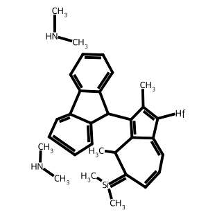 CC1=[C]([Hf])C2=CC=CC(=[Si](C)C)C(C)C2=C1C1c2ccccc2-c2ccccc21.CNC.CNC